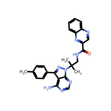 Cc1ccc(-c2nn(C(C)(C)CNC(=O)c3cnc4ccccc4n3)c3ncnc(N)c23)cc1